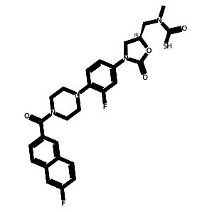 CN(C[C@@H]1CN(c2ccc(N3CCN(C(=O)c4ccc5cc(F)ccc5c4)CC3)c(F)c2)C(=O)O1)C(=O)S